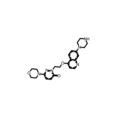 O=c1ccc(N2CCOCC2)nn1CCOc1ccnc2cc(N3CCNCC3)ccc12